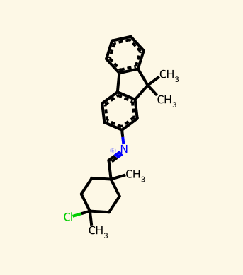 CC1(Cl)CCC(C)(/C=N/c2ccc3c(c2)C(C)(C)c2ccccc2-3)CC1